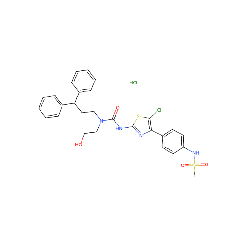 CS(=O)(=O)Nc1ccc(-c2nc(NC(=O)N(CCO)CCC(c3ccccc3)c3ccccc3)sc2Cl)cc1.Cl